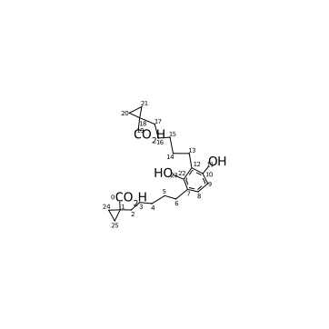 O=C(O)C1(CCCCCc2ccc(O)c(CCCCCC3(C(=O)O)CC3)c2O)CC1